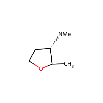 CN[C@H]1CCOC1C